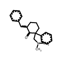 CN(C)CC1(c2ccccc2)CCCC(=Cc2ccccc2)C1=O